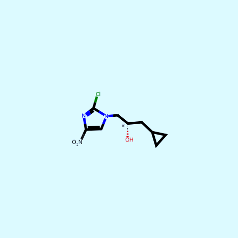 O=[N+]([O-])c1cn(C[C@@H](O)CC2CC2)c(Cl)n1